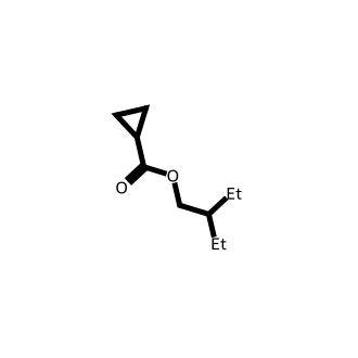 CCC(CC)COC(=O)C1CC1